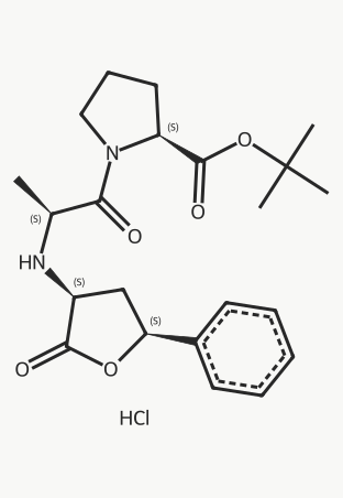 C[C@H](N[C@H]1C[C@@H](c2ccccc2)OC1=O)C(=O)N1CCC[C@H]1C(=O)OC(C)(C)C.Cl